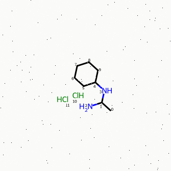 CC(N)NC1CCCCC1.Cl.Cl